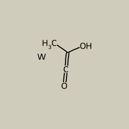 CC(O)=C=O.[W]